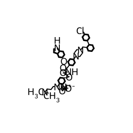 CN(C)CCCNc1ccc(S(=O)(=O)NC(=O)c2ccc(N3CCN(Cc4ccccc4-c4ccc(Cl)cc4)CC3)cc2Oc2ccc3[nH]ccc3c2)cc1[N+](=O)[O-]